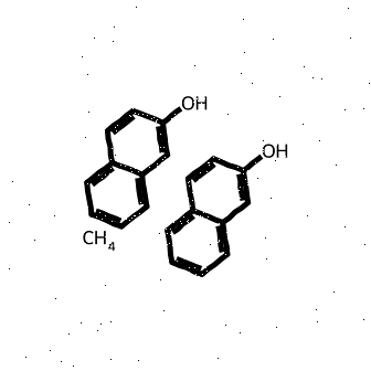 C.Oc1ccc2ccccc2c1.Oc1ccc2ccccc2c1